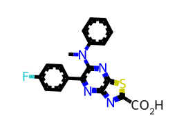 CN(c1ccccc1)c1nc2sc(C(=O)O)nc2nc1-c1ccc(F)cc1